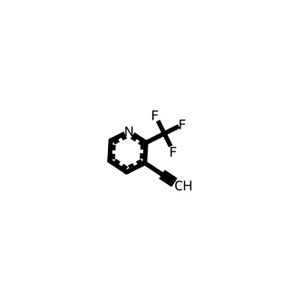 C#Cc1cccnc1C(F)(F)F